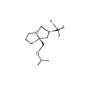 CC(C)OC[C@@]12CCCN1C[C@@H](C(F)(F)F)C2